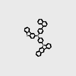 c1ccc2cc3c(cc2c1)c1ccccc1n3-c1ccc(N(c2ccc(-c3cccc4ccccc34)cc2)c2ccc3sc4ccccc4c3c2)cc1